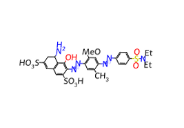 CCN(CC)S(=O)(=O)c1ccc(/N=N/c2cc(OC)c(/N=N/c3c(S(=O)(=O)O)cc4c(c3O)C(N)CC(S(=O)(=O)O)=C4)cc2C)cc1